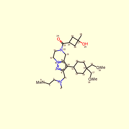 CNCCN(C)Cc1nn2c(c1C1CCC(COC)(COC)CC1)CN(C(=O)C1CC(C)(O)C1)CC2